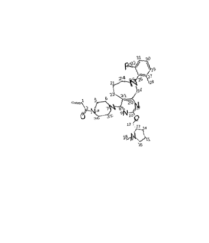 C=CC(=O)N1CCN(c2nc(OC[C@@H]3CCCN3C)nc3c2CCCN(c2c(C)cccc2F)C3)CC1